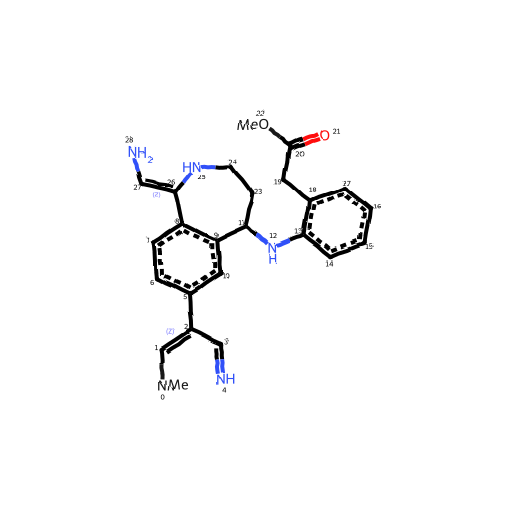 CN/C=C(\C=N)c1ccc2c(c1)C(Nc1ccccc1CC(=O)OC)CCN/C2=C\N